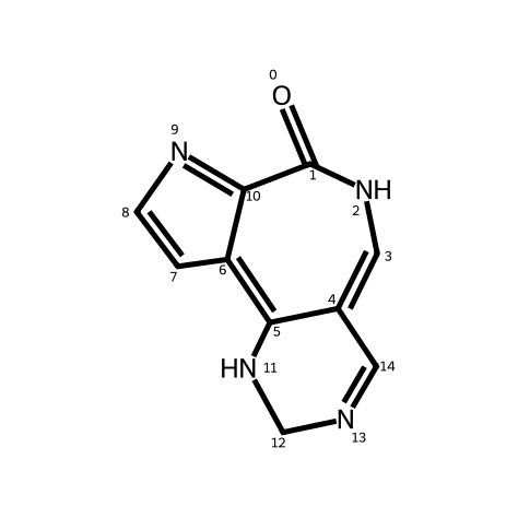 O=c1[nH]cc2c(c3ccnc1-3)NCN=C2